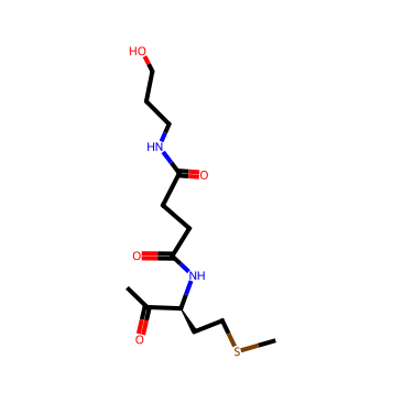 CSCC[C@H](NC(=O)CCC(=O)NCCCO)C(C)=O